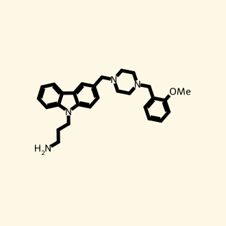 COc1ccccc1CN1CCN(Cc2ccc3c(c2)c2ccccc2n3CCCN)CC1